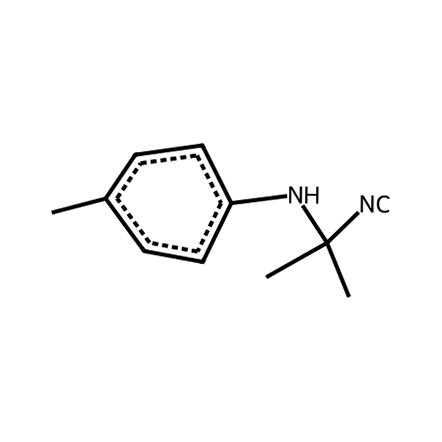 [C-]#[N+]C(C)(C)Nc1ccc(C)cc1